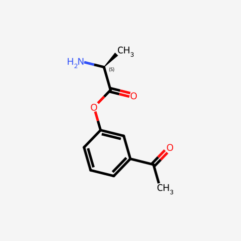 CC(=O)c1cccc(OC(=O)[C@H](C)N)c1